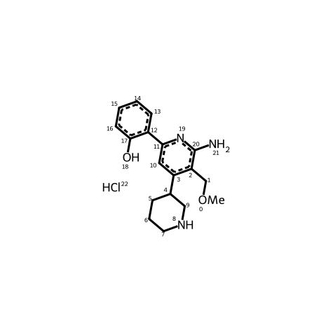 COCc1c(C2CCCNC2)cc(-c2ccccc2O)nc1N.Cl